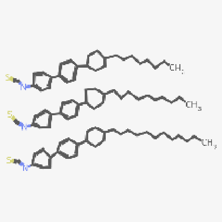 CCCCCCCCC1CCC(c2ccc(-c3ccc(N=C=S)cc3)cc2)CC1.CCCCCCCCCCC1CCC(c2ccc(-c3ccc(N=C=S)cc3)cc2)CC1.CCCCCCCCCCCCC1CCC(c2ccc(-c3ccc(N=C=S)cc3)cc2)CC1